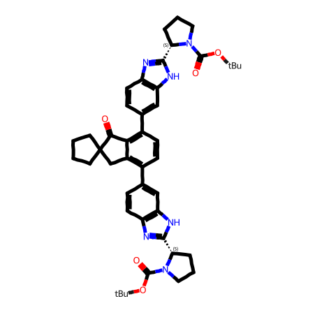 CC(C)(C)OC(=O)N1CCC[C@H]1c1nc2ccc(-c3ccc(-c4ccc5nc([C@@H]6CCCN6C(=O)OC(C)(C)C)[nH]c5c4)c4c3CC3(CCCC3)C4=O)cc2[nH]1